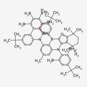 Bc1cc(C(C)(C)C)cc(B)c1N1c2cc(C)cc3c2B(c2cc(C(C)(C)C)ccc2N3c2ccc(C(C)(C)C)cc2-c2c(B)c(B)c(B)c(B)c2B)c2oc3c(c21)C(C)(C)CCC3(C)C